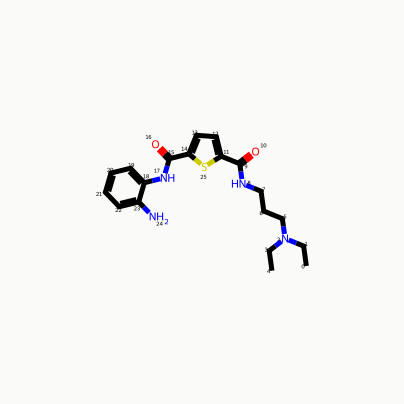 CCN(CC)CCCNC(=O)c1ccc(C(=O)Nc2ccccc2N)s1